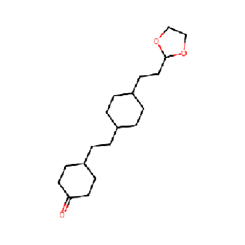 O=C1CCC(CCC2CCC(CCC3OCCO3)CC2)CC1